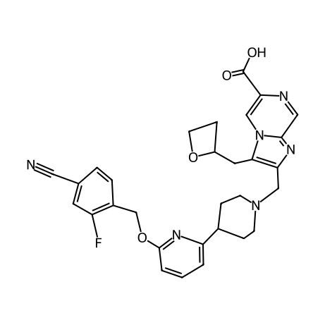 N#Cc1ccc(COc2cccc(C3CCN(Cc4nc5cnc(C(=O)O)cn5c4CC4CCO4)CC3)n2)c(F)c1